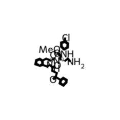 COc1cc(Cl)ccc1NC(=O)[C@H](CCN)NC(=O)[C@@H]1Cc2ccccc2CN1C(=O)CCC(=O)c1ccccc1